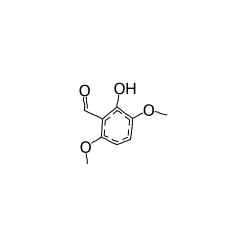 COc1ccc(OC)c(C=O)c1O